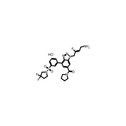 Cl.NC/C=C(\F)Cn1nnc2c(-c3cccc(S(=O)(=O)N4CCC(F)(F)C4)c3)cc(C(=O)N3CCCC3)cc21